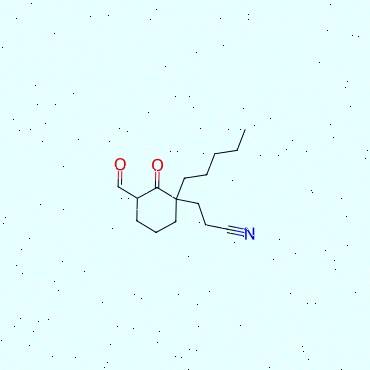 CCCCCC1(CCC#N)CCCC(C=O)C1=O